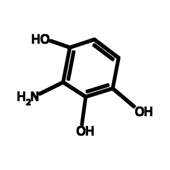 Nc1c(O)ccc(O)c1O